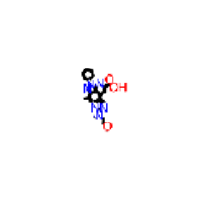 COCCN(C)c1ncc(-c2cc(C(=O)O)nc3c2c(C(C)C)nn3C2CCCCC2)cn1